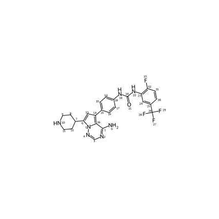 Nc1ncnn2c(C3CCNCC3)cc(-c3ccc(NC(=O)Nc4cc(C(F)(F)F)ccc4F)cc3)c12